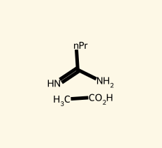 CC(=O)O.CCCC(=N)N